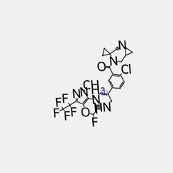 Cn1nc(C(F)(F)C(F)(F)F)c(OC(F)F)c1N/C=C(\C=N)c1ccc(Cl)c(C(=O)N(CC2CC2)C2(C#N)CC2)c1